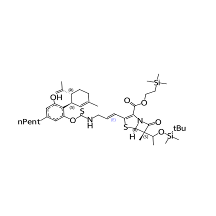 C=C(C)[C@@H]1CCC(C)=C[C@H]1c1c(O)cc(CCCCC)cc1OC(=S)NC/C=C/C1=C(C(=O)OCC[Si](C)(C)C)N2C(=O)[C@](C)(C(C)O[Si](C)(C)C(C)(C)C)[C@H]2S1